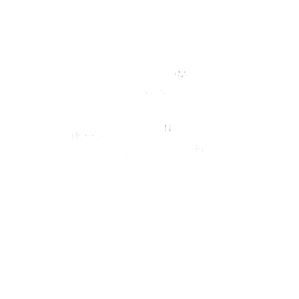 COC(=O)Cn1c(Br)c(-c2ccccc2)c2sc(C(=O)O)cc21